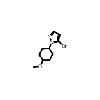 COC1CCC(n2nccc2Br)CC1